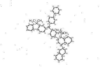 CC1(C)c2ccccc2-c2ccc(N(c3ccc(-c4ccccc4)cc3)c3ccc4c(c3)C(C)(C)c3c-4cc(-c4ccc5ccccc5c4)c4ccccc34)cc21